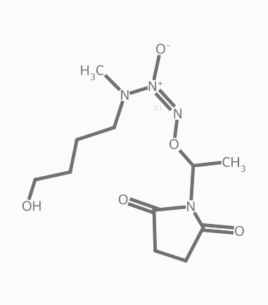 CC(O/N=[N+](/[O-])N(C)CCCCO)N1C(=O)CCC1=O